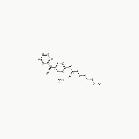 CCCCCCCCCCCCCCCC(=O)Oc1ccc(C(=O)c2ccccc2)cc1.[NaH]